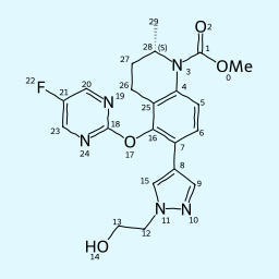 COC(=O)N1c2ccc(-c3cnn(CCO)c3)c(Oc3ncc(F)cn3)c2CC[C@@H]1C